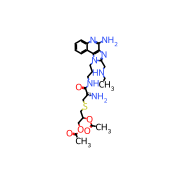 CCNCc1nc2c(N)nc3ccccc3c2n1CCCNC(=O)[C@@H](N)CSCC(COC(C)=O)OC(C)=O